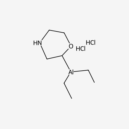 C[CH2][Al]([CH2]C)[CH]1CNCCO1.Cl.Cl